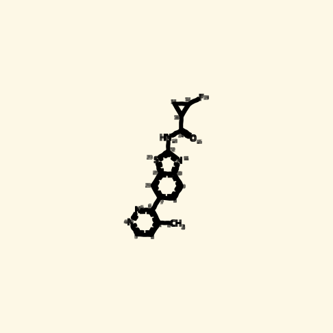 Cc1ccnnc1-c1ccc2nc(NC(=O)C3CC3F)sc2c1